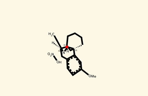 COc1ccc2c(c1)[C@]13CCCC[C@@H]1[C@H](C2)N(C)CC3.O=[N+]([O-])O